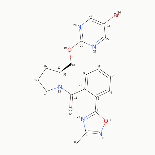 Cc1noc(-c2ccccc2C(=O)N2CCC[C@H]2COc2ncc(Br)cn2)n1